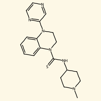 CN1CCC(NC(=S)N2CCN(c3cnccn3)c3ccccc32)CC1